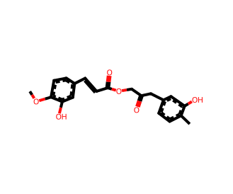 COc1ccc(/C=C/C(=O)OCC(=O)Cc2ccc(C)c(O)c2)cc1O